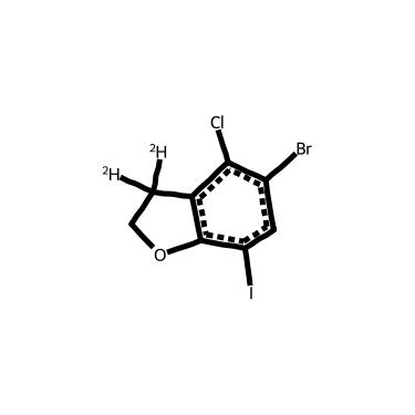 [2H]C1([2H])COc2c(I)cc(Br)c(Cl)c21